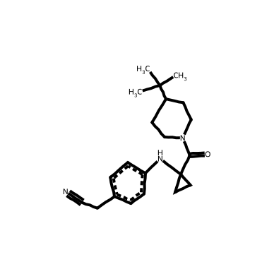 CC(C)(C)C1CCN(C(=O)C2(Nc3ccc(CC#N)cc3)CC2)CC1